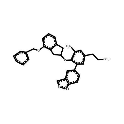 Nc1cc(CCC(=O)O)cc(-c2ccc3[nH]ncc3c2)c1OC1Cc2cccc(OCc3ccccc3)c2C1